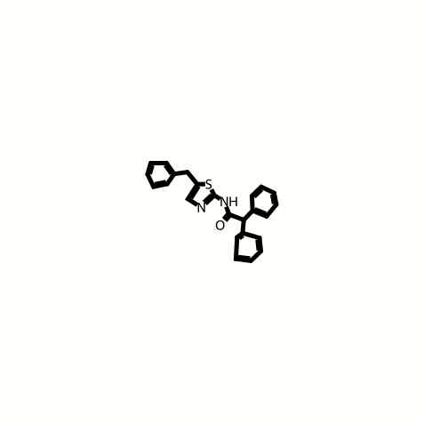 O=C(Nc1ncc(Cc2ccccc2)s1)C(c1ccccc1)c1ccccc1